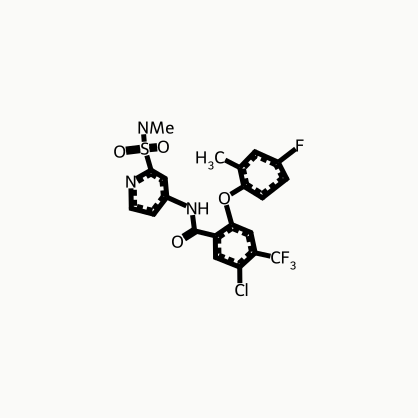 CNS(=O)(=O)c1cc(NC(=O)c2cc(Cl)c(C(F)(F)F)cc2Oc2ccc(F)cc2C)ccn1